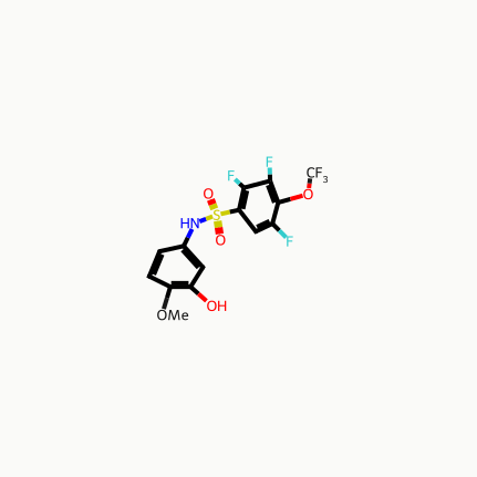 COc1ccc(NS(=O)(=O)c2cc(F)c(OC(F)(F)F)c(F)c2F)cc1O